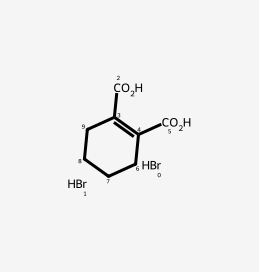 Br.Br.O=C(O)C1=C(C(=O)O)CCCC1